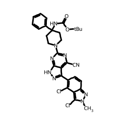 Cn1nc2ccc(-c3n[nH]c4nc(N5CCC(NC(=O)OC(C)(C)C)(c6ccccc6)CC5)nc(C#N)c34)c(Cl)c2c1Cl